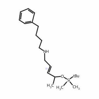 CC(/C=C/CNCCCCc1ccccc1)O[Si](C)(C)C(C)(C)C